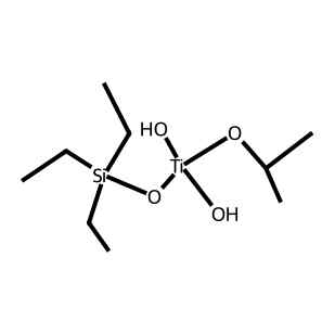 CC[Si](CC)(CC)[O][Ti]([OH])([OH])[O]C(C)C